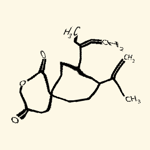 C=C(C)C1CCC2(CC(=O)OC2=O)CC1C(=C)C